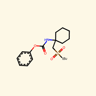 CC(C)(C)S(=O)(=O)CC1(NC(=O)Oc2ccccc2)CCCCC1